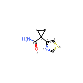 NC(=O)C1(c2cscn2)CC1